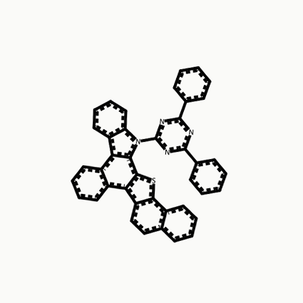 c1ccc(-c2nc(-c3ccccc3)nc(-n3c4ccccc4c4c5ccccc5c5c6ccc7ccccc7c6sc5c43)n2)cc1